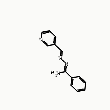 NC(=NN=Cc1cccnc1)c1ccccc1